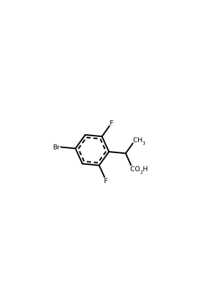 CC(C(=O)O)c1c(F)cc(Br)cc1F